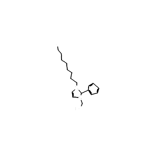 CCCCCCCCCN1C=CN(CC)C1c1ccccc1